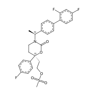 C[C@@H](c1ccc(-c2ccc(F)cc2F)cc1)N1CC[C@](CCOS(C)(=O)=O)(c2ccc(F)cc2)OC1=O